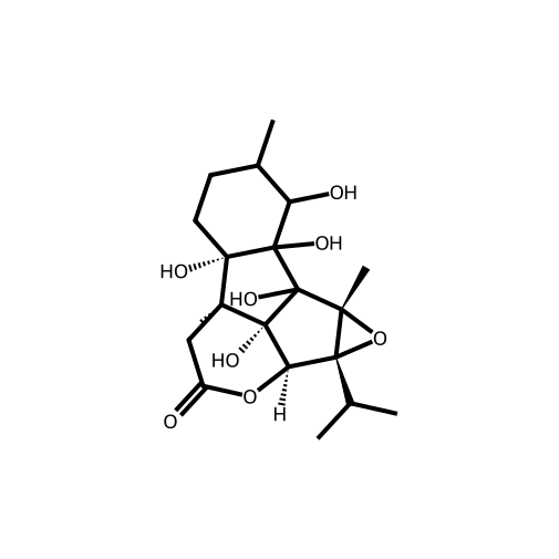 CC1CC[C@@]2(O)C(O)(C1O)C1(O)[C@]3(C)O[C@]3(C(C)C)[C@H]3OC(=O)C[C@]2(C)[C@]31O